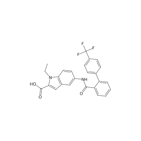 CCn1c(C(=O)O)cc2cc(NC(=O)c3ccccc3-c3ccc(C(F)(F)F)cc3)ccc21